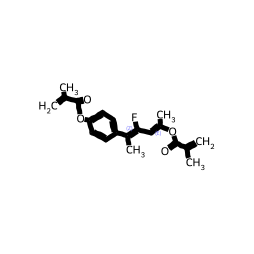 C=C(C)C(=O)O/C(C)=C/C(F)=C(\C)c1ccc(OC(=O)C(=C)C)cc1